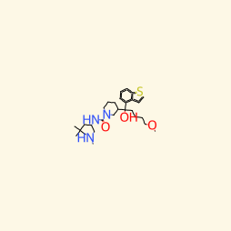 CNCC(CC(C)(C)C)NC(=O)N1CCCC(C(O)(CCCCOC)c2cccc3sccc23)C1